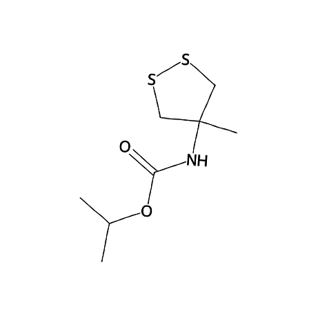 CC(C)OC(=O)NC1(C)CSSC1